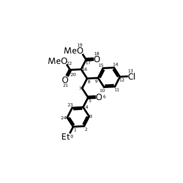 CCc1ccc(C(=O)CC(c2ccc(Cl)cc2)C(C(=O)OC)C(=O)OC)cc1